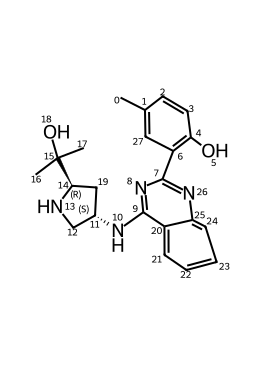 Cc1ccc(O)c(-c2nc(N[C@@H]3CN[C@@H](C(C)(C)O)C3)c3ccccc3n2)c1